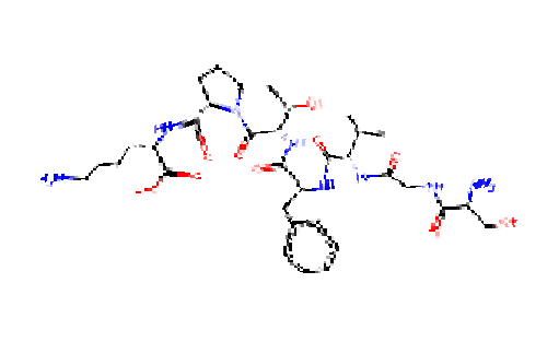 CC(C)[C@H](NC(=O)CNC(=O)[C@@H](N)CO)C(=O)N[C@@H](Cc1ccccc1)C(=O)N[C@H](C(=O)N1CCC[C@H]1C(=O)N[C@@H](CCCCN)C(=O)O)[C@@H](C)O